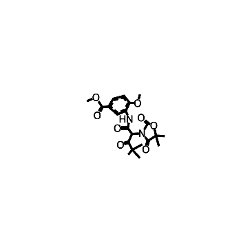 COC(=O)c1ccc(OC)c(NC(=O)C(C(=O)C(C)(C)C)N2C(=O)OC(C)(C)C2=O)c1